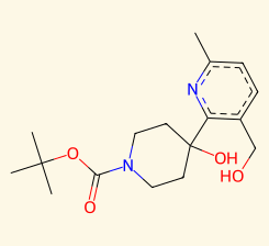 Cc1ccc(CO)c(C2(O)CCN(C(=O)OC(C)(C)C)CC2)n1